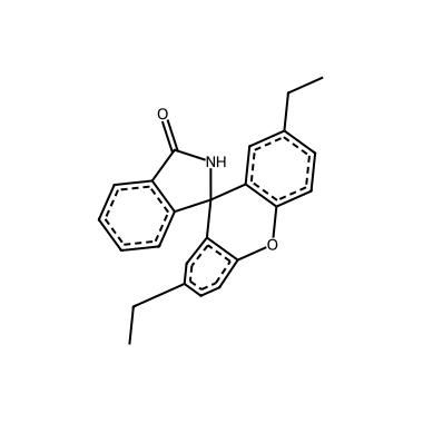 CCc1ccc2c(c1)C1(NC(=O)c3ccccc31)c1cc(CC)ccc1O2